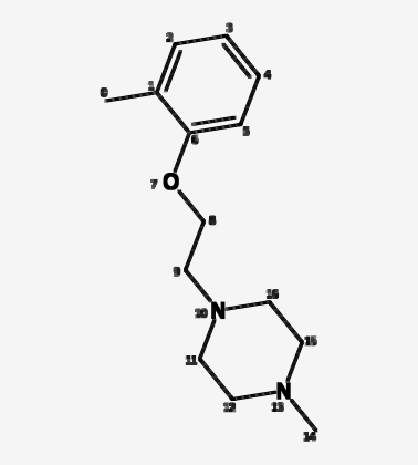 Cc1ccccc1OCCN1CCN(C)CC1